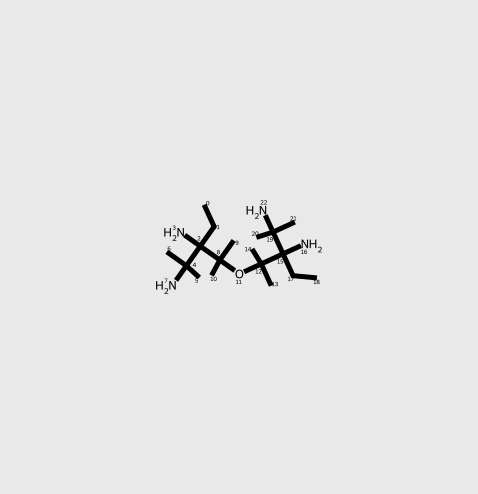 CCC(N)(C(C)(C)N)C(C)(C)OC(C)(C)C(N)(CC)C(C)(C)N